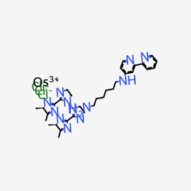 CC1=NC(C2=NCC=N2)=N[C@@H]1C.CC1=NC(C2=NCC=N2)=N[C@@H]1C.NCCCCCCNc1ccnc(-c2ccccn2)c1.[Cl-].[Cl-].[Cl-].[Os+3]